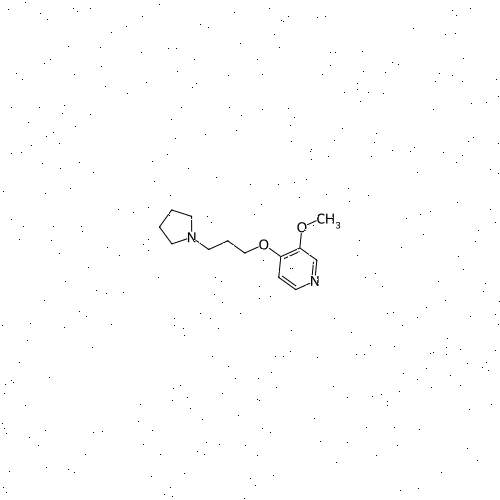 COc1cnccc1OCCCN1CCCC1